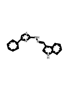 C(=N\Nc1nc(-c2ccccc2)cs1)/c1c[nH]c2ccccc12